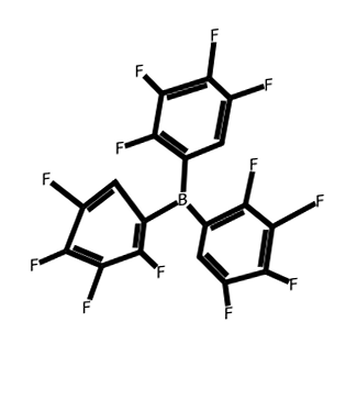 Fc1cc(B(c2cc(F)c(F)c(F)c2F)c2cc(F)c(F)c(F)c2F)c(F)c(F)c1F